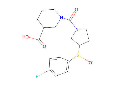 O=C(O)C1CCCN(C(=O)N2CCC([S+]([O-])c3ccc(F)cc3)C2)C1